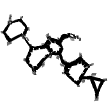 Cc1nc2c(N3CCOCC3)cncn2c1-c1ccc(C2CC2)nc1